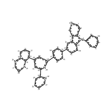 c1ccc(-n2c3ccncc3c3cc(-c4ccc(-c5cc(-c6cccc7nccnc67)cc(-c6ccccn6)n5)cc4)ccc32)cc1